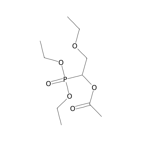 CCOCC(OC(C)=O)P(=O)(OCC)OCC